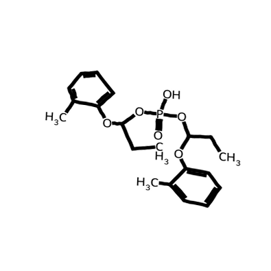 CCC(Oc1ccccc1C)OP(=O)(O)OC(CC)Oc1ccccc1C